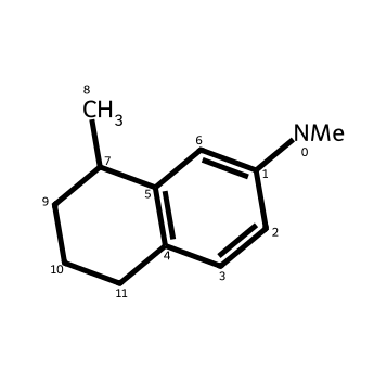 CNc1ccc2c(c1)C(C)CCC2